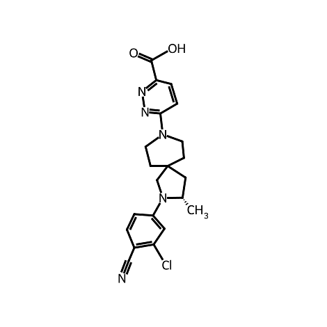 C[C@H]1CC2(CCN(c3ccc(C(=O)O)nn3)CC2)CN1c1ccc(C#N)c(Cl)c1